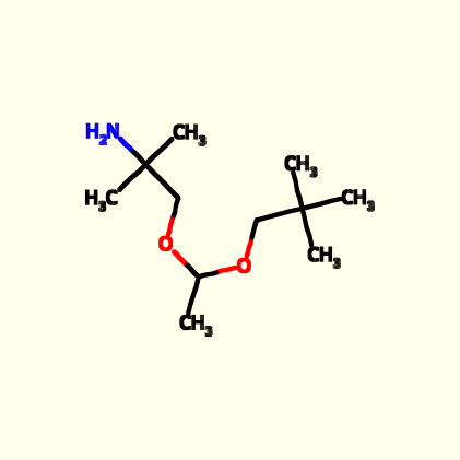 CC(OCC(C)(C)C)OCC(C)(C)N